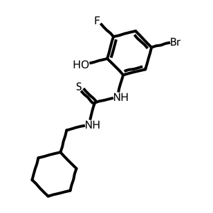 Oc1c(F)cc(Br)cc1NC(=S)NCC1CCCCC1